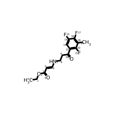 CCOC(=O)C=CNCCC(=O)c1cc(F)c(F)c(C)c1F